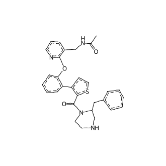 CC(=O)NCc1cccnc1Oc1ccccc1-c1ccsc1C(=O)N1CCNCC1Cc1ccccc1